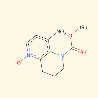 CC(C)(C)OC(=O)N1CCCc2c1c([N+](=O)[O-])cc[n+]2[O-]